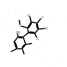 COc1c(Cl)c(Cl)c(Cl)c(Cl)c1-c1c(O)cc(C)c(C)c1C